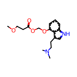 COCCC(=O)OCOc1cccc2[nH]cc(CCN(C)C)c12